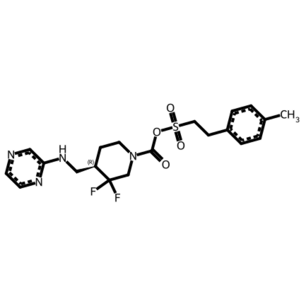 Cc1ccc(CCS(=O)(=O)OC(=O)N2CC[C@H](CNc3cnccn3)C(F)(F)C2)cc1